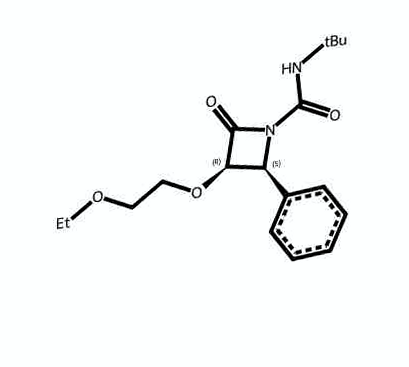 CCOCCO[C@H]1C(=O)N(C(=O)NC(C)(C)C)[C@H]1c1ccccc1